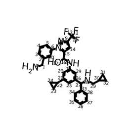 NCc1cccc(-n2nc(C(F)(F)F)cc2C(O)Nc2cc(C3CC3)cc(C(NCC3CC3)c3ccccc3)c2)c1